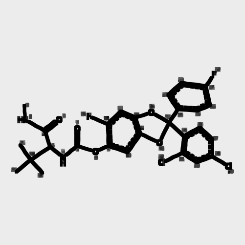 CNC(=O)C(NC(=O)Oc1cc2c(cc1F)OC(c1ccc(F)cc1)(c1ccc(Cl)cc1Cl)O2)C(C)(C)C